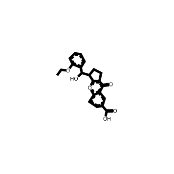 CCOc1ccccc1C(O)C1CCc2c1oc1ccc(C(=O)O)cc1c2=O